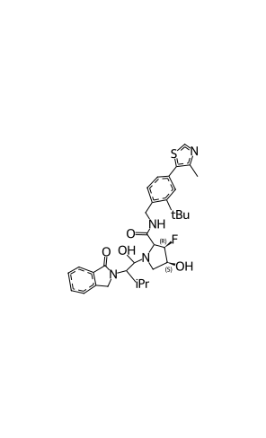 Cc1ncsc1-c1ccc(CNC(=O)C2[C@@H](F)[C@@H](O)CN2C(O)C(C(C)C)N2Cc3ccccc3C2=O)c(C(C)(C)C)c1